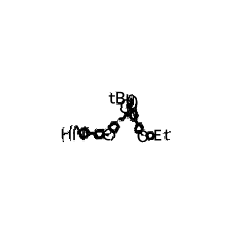 CC[C@H]1CC[C@H](Oc2ccc(C3=CCN(C(=O)OC(C)(C)C)C(CCC[C@H]4CC[C@H](Oc5ccc(C6=CCNCC6)cc5)CC4)C3)cc2)CC1